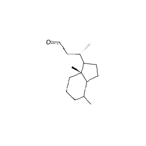 CC1CCC[C@@]2(C)C1CCC2[C@@H](C)CC=O